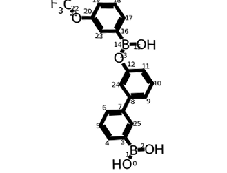 OB(O)c1cccc(-c2cccc(OB(O)c3cccc(OC(F)(F)F)c3)c2)c1